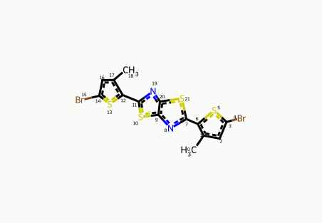 Cc1cc(Br)sc1-c1nc2sc(-c3sc(Br)cc3C)nc2s1